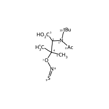 CC(=O)N(C(C(=O)O)C(C)(C)ON=S)C(C)(C)C